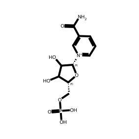 NC(=O)c1ccc[n+]([C@@H]2O[C@H](COP(=O)(O)O)C(O)C2O)c1